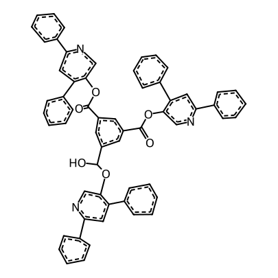 O=C(Oc1cnc(-c2ccccc2)cc1-c1ccccc1)c1cc(C(=O)Oc2cnc(-c3ccccc3)cc2-c2ccccc2)cc(C(O)Oc2cnc(-c3ccccc3)cc2-c2ccccc2)c1